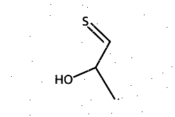 [CH2]C(O)C=S